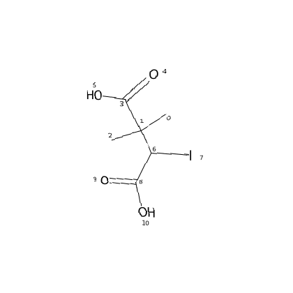 CC(C)(C(=O)O)C(I)C(=O)O